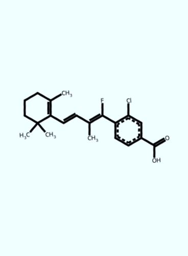 CC1=C(/C=C/C(C)=C(\F)c2ccc(C(=O)O)cc2Cl)C(C)(C)CCC1